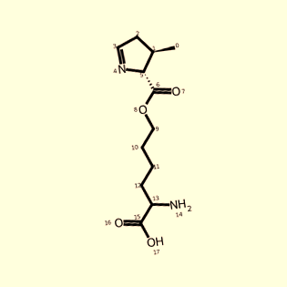 C[C@@H]1CC=N[C@H]1C(=O)OCCCCC(N)C(=O)O